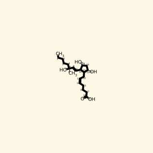 CCCCC[C@](C)(O)/C=C/C1C(C/C=C\CCCC(=O)O)[C@@H](O)C[C@H]1O